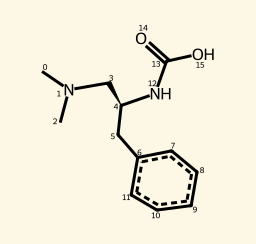 CN(C)C[C@H](Cc1ccccc1)NC(=O)O